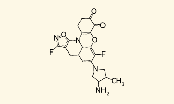 CC1CN(C2=CC3Cc4c(F)noc4N4C5=C(OC(=C2F)C34)C(=O)C(=O)CC5)CC1N